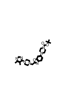 Cc1ncnc(N2CCN(Cc3nc4ccc(N5CCN(C(=O)OC(C)(C)C)CC5)cc4o3)CC2)c1C